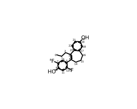 CCCC1=C(c2cc(F)c(O)cc2F)CCCc2cc(O)ccc21